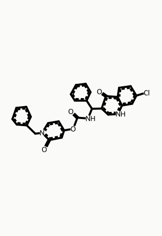 O=C(NC(c1ccccc1)c1c[nH]c2cc(Cl)ccc2c1=O)Oc1ccn(Cc2ccccc2)c(=O)c1